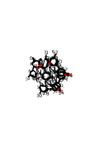 Cc1ccc2c(c1)c1cc(C)ccc1n2-c1c(C#N)c(-n2c3ccc(C)cc3c3cc(C)ccc32)c(-n2c3ccc(C)cc3c3cc(C)ccc32)c(-n2c3ccc(C)cc3c3cc(C)ccc32)c1-c1ccc(C)nc1C